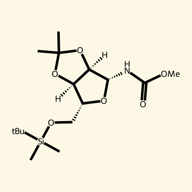 COC(=O)N[C@@H]1O[C@H](CO[Si](C)(C)C(C)(C)C)[C@H]2OC(C)(C)O[C@H]21